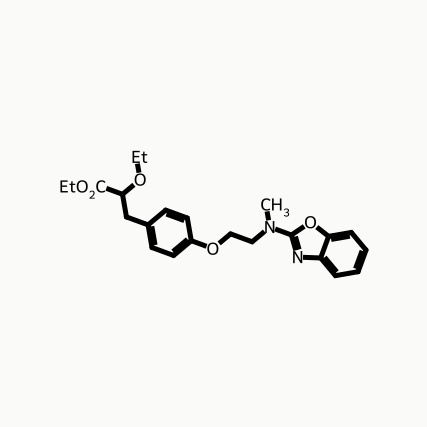 CCOC(=O)C(Cc1ccc(OCCN(C)c2nc3ccccc3o2)cc1)OCC